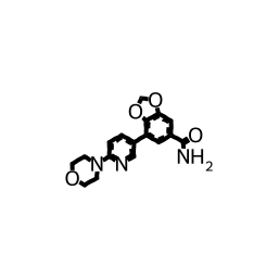 NC(=O)c1cc2c(c(-c3ccc(N4CCOCC4)nc3)c1)OCO2